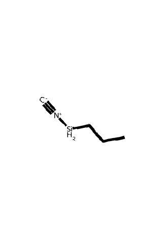 [C-]#[N+][SiH2]CCC